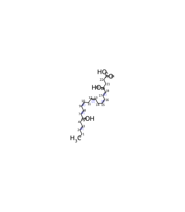 CC/C=C/C[C@H](O)/C=C/C=C\C/C=C\C/C=C\C=C\[C@@H](O)CCC(=O)O